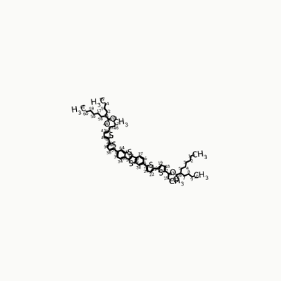 CCCCCCC(CCCC)C(=O)OC(CC)c1ccc(-c2ccc(-c3ccc4c(c3)sc3c5ccc(-c6ccc(-c7ccc(C(CC)OC(=O)C(CCCC)CCCCCC)s7)s6)cc5sc43)s2)s1